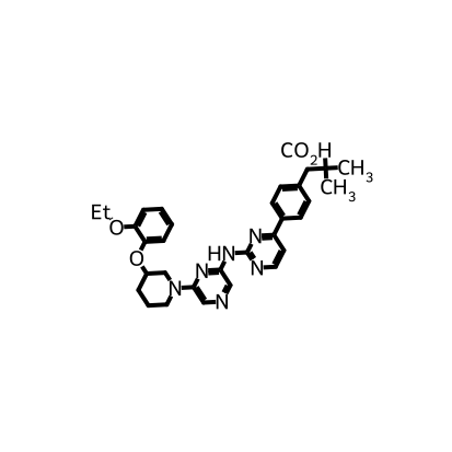 CCOc1ccccc1OC1CCCN(c2cncc(Nc3nccc(-c4ccc(CC(C)(C)C(=O)O)cc4)n3)n2)C1